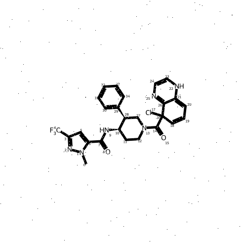 Cn1nc(C(F)(F)F)cc1C(=O)N[C@@H]1CCN(C(=O)C2(Cl)C=CC=C3NC=CN=C32)C[C@@H]1c1ccccc1